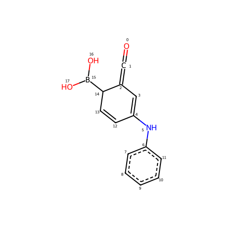 O=C=C1C=C(Nc2ccccc2)C=CC1B(O)O